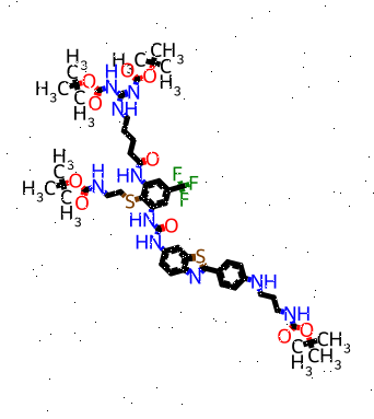 CC(C)(C)OC(=O)N=C(NCCCCC(=O)Nc1cc(C(F)(F)F)cc(NC(=O)Nc2ccc3nc(-c4ccc(NCCCNC(=O)OC(C)(C)C)cc4)sc3c2)c1SCCNC(=O)OC(C)(C)C)NC(=O)OC(C)(C)C